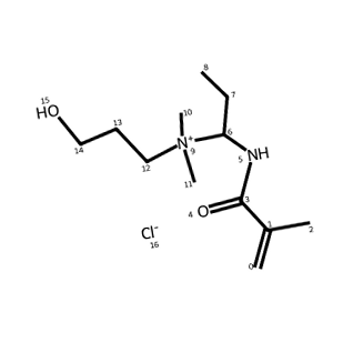 C=C(C)C(=O)NC(CC)[N+](C)(C)CCCO.[Cl-]